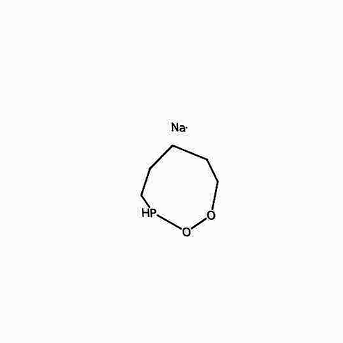 C1CCOOPCC1.[Na]